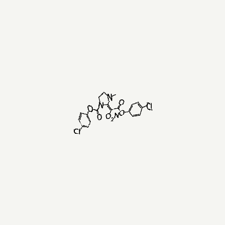 CN1CCN(C(=O)Oc2ccc(Cl)cc2)C1=C(C(=O)Oc1ccc(Cl)cc1)[N+](=O)[O-]